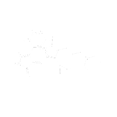 CCN(CC)CCCc1c(C)[nH]c(/C=C2/C(=O)NN=C2c2ccncn2)c1C1CC1